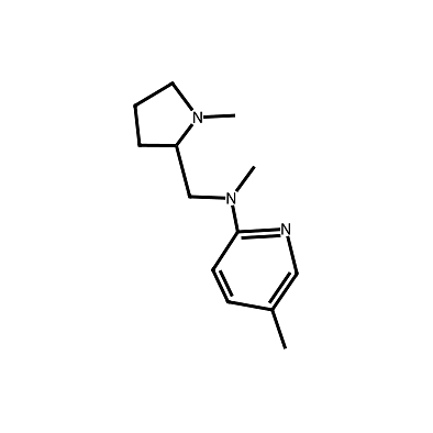 Cc1ccc(N(C)CC2CCCN2C)nc1